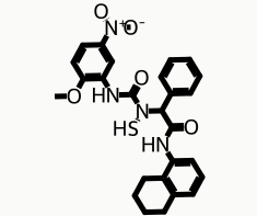 COc1ccc([N+](=O)[O-])cc1NC(=O)N(S)C(C(=O)Nc1cccc2c1CCCC2)c1ccccc1